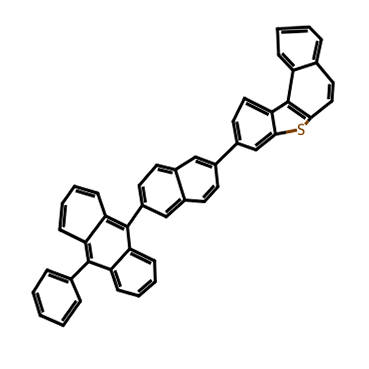 c1ccc(-c2c3ccccc3c(-c3ccc4cc(-c5ccc6c(c5)sc5ccc7ccccc7c56)ccc4c3)c3ccccc23)cc1